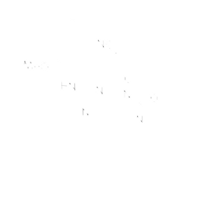 COc1cc(F)c([N+](=O)[O-])cc1Nc1ncc2c(n1)N(C)C(=O)N(Cc1ccccc1)C2